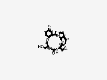 C[C@@H]1c2cc(F)ccc2OCC(CO)NC(=O)Nc2cnn3cc4c(nc23)N1CC4